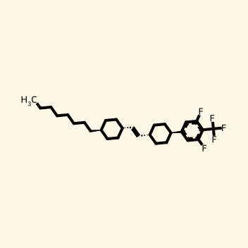 CCCCCCCC[C@H]1CC[C@H](/C=C/[C@H]2CC[C@H](c3cc(F)c(C(F)(F)F)c(F)c3)CC2)CC1